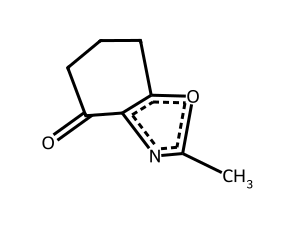 Cc1nc2c(o1)CCCC2=O